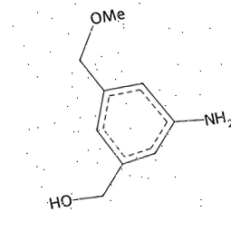 COCc1cc(N)cc(CO)c1